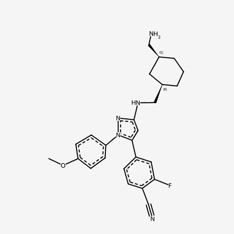 COc1ccc(-n2nc(NC[C@@H]3CCC[C@H](CN)C3)cc2-c2ccc(C#N)c(F)c2)cc1